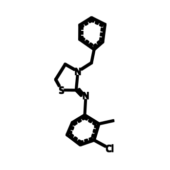 Cc1c(Cl)cccc1N=C1SCCN1Cc1ccccc1